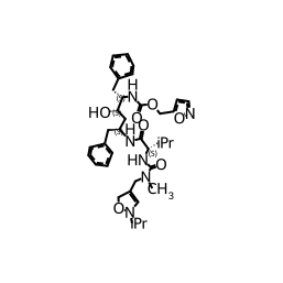 CC(C)[C@H](NC(=O)N(C)CC1=CN(C(C)C)OC1)C(=O)N[C@@H](Cc1ccccc1)C[C@H](O)[C@H](Cc1ccccc1)NC(=O)OCc1ccno1